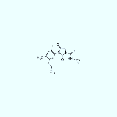 Cc1cc(F)c(N2C(=O)CN(C(=O)NC3CC3)C2=O)cc1SCC(F)(F)F